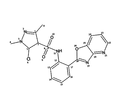 CC1=NN(C)C(Cl)C1S(=O)(=O)Nc1ccccc1-c1nc2ncccc2o1